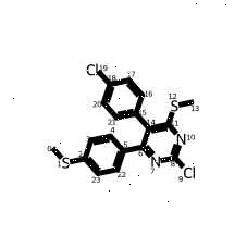 CSc1ccc(-c2nc(Cl)nc(SC)c2-c2ccc(Cl)cc2)cc1